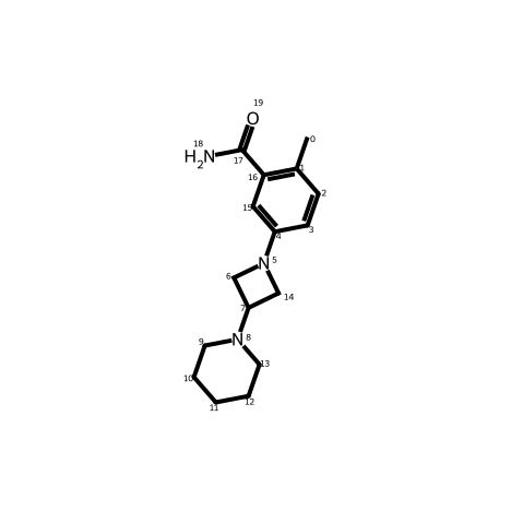 Cc1ccc(N2CC(N3CCCCC3)C2)cc1C(N)=O